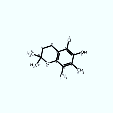 Cc1c(C)c2c(c(Cl)c1O)CCC(C)(C)O2